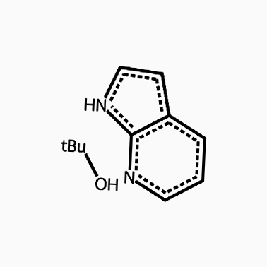 CC(C)(C)O.c1cnc2[nH]ccc2c1